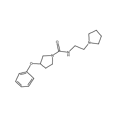 O=C(NCCN1CCCC1)N1CCC(Oc2ccccc2)C1